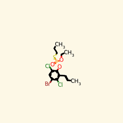 CC=Cc1c(Cl)c(Br)cc(Cl)c1OP(=O)(OCC)SCCC